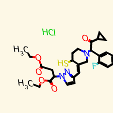 CCOC(=O)CC(C(=O)OCC)n1ccc(C=C2CN(C(C(=O)C3CC3)c3ccccc3F)CCC2S)n1.Cl